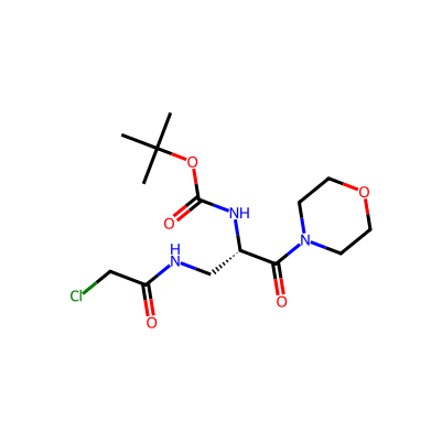 CC(C)(C)OC(=O)N[C@@H](CNC(=O)CCl)C(=O)N1CCOCC1